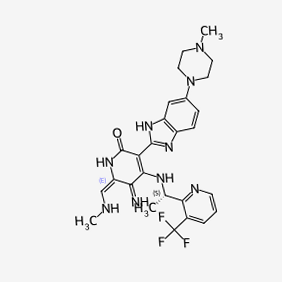 CN/C=C1/NC(=O)C(c2nc3ccc(N4CCN(C)CC4)cc3[nH]2)=C(N[C@@H](C)c2ncccc2C(F)(F)F)C1=N